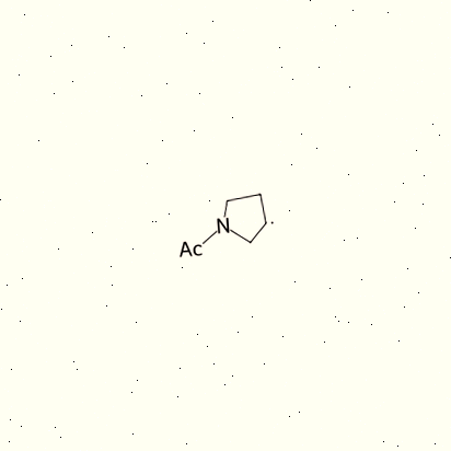 CC(=O)N1C[CH]CC1